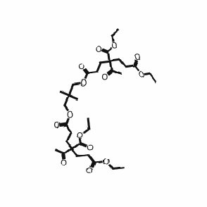 CCOC(=O)CCC(CCC(=O)OCC(C)(C)COC(=O)CCC(CCC(=O)OCC)(C(C)=O)C(=O)OCC)(C(C)=O)C(=O)OCC